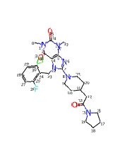 Cn1c(=O)c2c(nc(N3CCC(CC(=O)N4CCCC4)CC3)n2Cc2c(F)cccc2Cl)n(C)c1=O